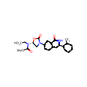 COC(=O)N(CC(=O)O)[C@H]1CN(c2ccc3cc(-c4ccccc4C(F)(F)F)[nH]c(=O)c3c2)C(=O)O1